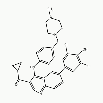 CN1CCN(Cc2ccc(Nc3c(C(=O)C4CC4)cnc4ccc(-c5cc(Cl)c(O)c(Cl)c5)cc34)cc2)CC1